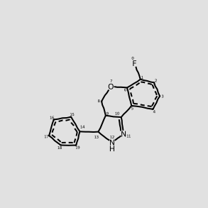 Fc1cccc2c1OCC1C2=NNC1c1ccccc1